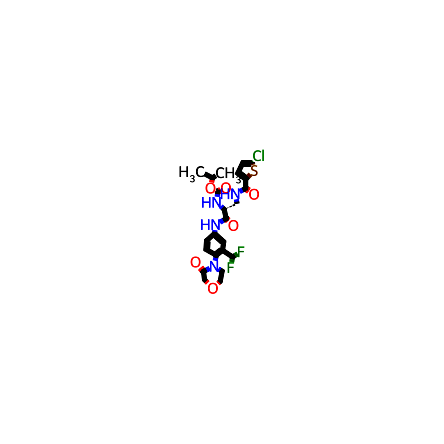 CC(C)OC(=O)N[C@H](CNC(=O)c1ccc(Cl)s1)C(=O)Nc1ccc(N2CCOCC2=O)c(C(F)F)c1